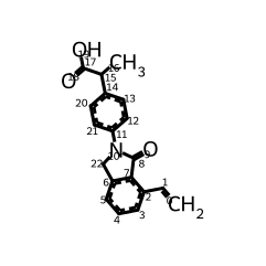 C=Cc1cccc2c1C(=O)N(c1ccc(C(C)C(=O)O)cc1)C2